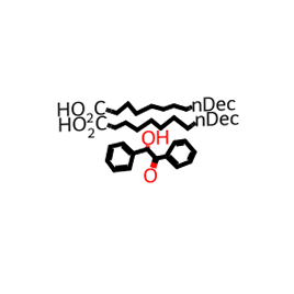 CCCCCCCCCCCCCCCCCC(=O)O.CCCCCCCCCCCCCCCCCC(=O)O.O=C(c1ccccc1)C(O)c1ccccc1